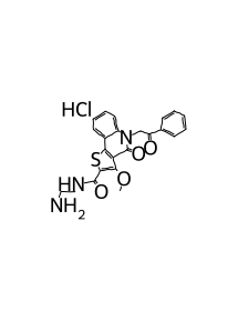 COc1c(C(=O)NCCN)sc2c1c(=O)n(CC(=O)c1ccccc1)c1ccccc21.Cl